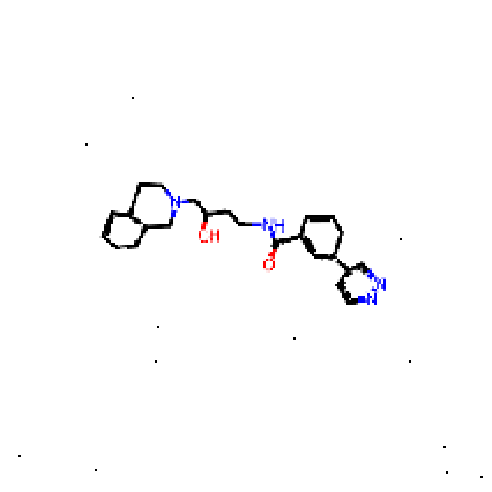 O=C(NCCC(O)CN1CCC2C=CCCC2C1)C1=CC(c2ccnnc2)CC=C1